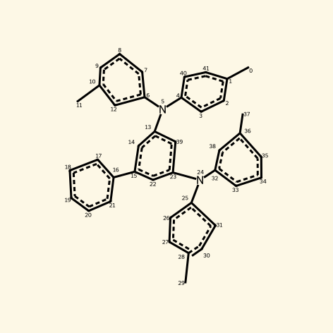 Cc1ccc(N(c2cccc(C)c2)c2cc(-c3ccccc3)cc(N(c3ccc(C)cc3)c3cccc(C)c3)c2)cc1